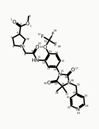 COC(=O)C1CCN(CC(=O)Nc2cc(N3C(=O)N(Cc4ccncc4)C(C)(C)C3=O)ccc2OC(F)(F)F)C1